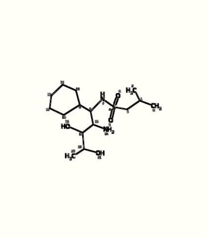 CC(C)CS(=O)(=O)NC(C1CCCCC1)C(N)C(O)C(C)O